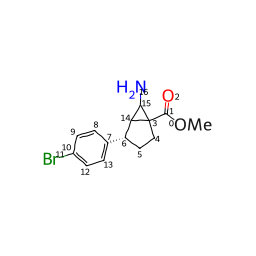 COC(=O)C12CC[C@H](c3ccc(Br)cc3)C1C2N